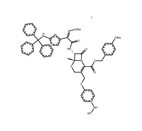 CCCN[n+]1ccc(SCC2=C(C(=O)OCc3ccc(OC)cc3)N3C(=O)[C@@H](NC(=O)/C(=N\OC)c4csc(NC(c5ccccc5)(c5ccccc5)c5ccccc5)n4)[C@H]3SC2)cc1.[I-]